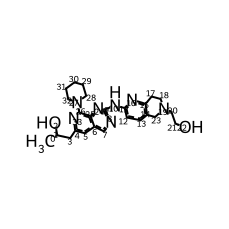 C[C@@H](O)Cc1cc2cnc(Nc3ccc4c(n3)CCN(CCO)C4)nc2c(N2CCCCC2)n1